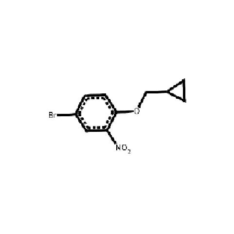 O=[N+]([O-])c1cc(Br)ccc1OCC1CC1